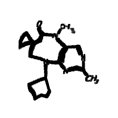 Cc1ncc2c(n1)N(C1CCCC1)CC1(CC1)C(=O)N2C